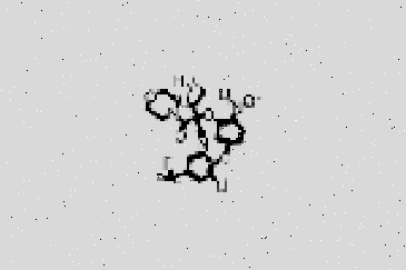 CCC(=O)C(C#N)(Oc1cc(Oc2ccc(C(F)(F)F)cc2Cl)ccc1[N+](=O)[O-])C(=O)N1CCOCC1